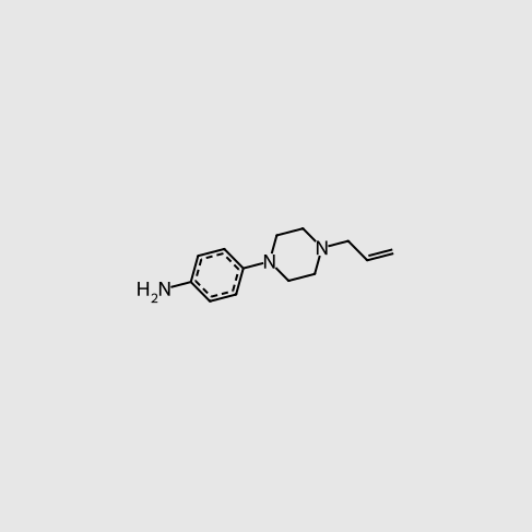 C=CCN1CCN(c2ccc(N)cc2)CC1